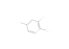 [NH]c1ccc(Cl)cc1Br